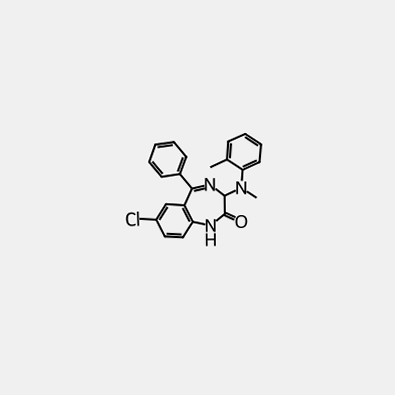 Cc1ccccc1N(C)C1N=C(c2ccccc2)c2cc(Cl)ccc2NC1=O